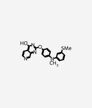 CSc1cccc(N(C)c2ccc(Oc3nc(O)c4ccncc4n3)cc2)c1